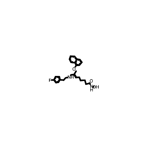 O=C(CCCC/C=C(/CNCCc1ccc(F)cc1)COc1cccc2ccccc12)NO